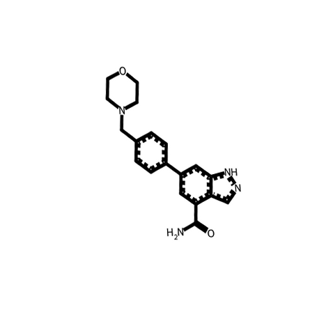 NC(=O)c1cc(-c2ccc(CN3CCOCC3)cc2)cc2[nH]ncc12